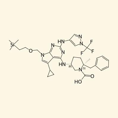 C[C@@]1(Cc2ccccc2)CC[C@@H](Nc2nc(Nc3cnn(C(F)(F)F)c3)nc3c2c(C2CC2)cn3COCC[Si](C)(C)C)CN1C(=O)O